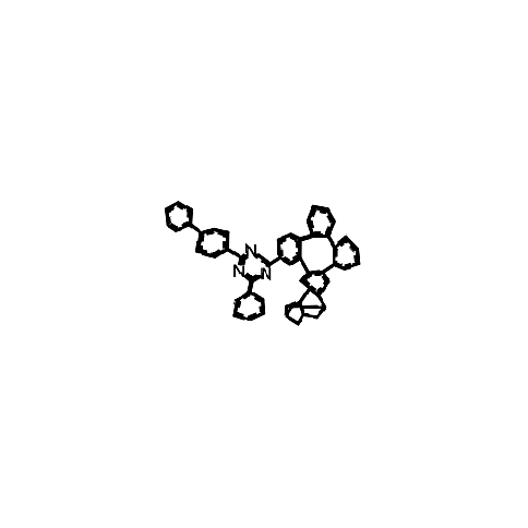 c1ccc(-c2ccc(-c3nc(-c4ccccc4)nc(-c4ccc5c(c4)-c4cc6c(cc4-c4ccccc4-c4ccccc4-5)C4CC5CC(C4)C6C5)n3)cc2)cc1